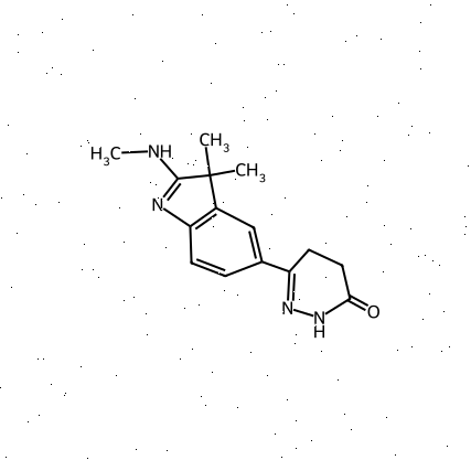 CNC1=Nc2ccc(C3=NNC(=O)CC3)cc2C1(C)C